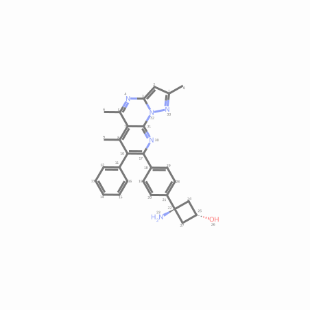 Cc1cc2nc(C)c3c(C)c(-c4ccccc4)c(-c4ccc([C@]5(N)C[C@H](O)C5)cc4)nc3n2n1